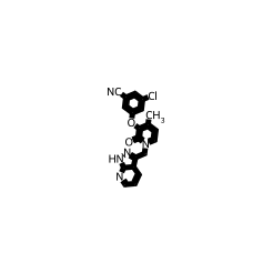 Cc1ccn(CC2=NNC3N=CC=CC23)c(=O)c1Oc1cc(Cl)cc(C#N)c1